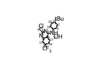 CC(C)(C)c1ccc(Nc2nc(CCl)nc3cc(C(F)(F)F)ccc23)cc1.Cl